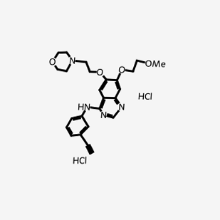 C#Cc1cccc(Nc2ncnc3cc(OCCOC)c(OCCN4CCOCC4)cc23)c1.Cl.Cl